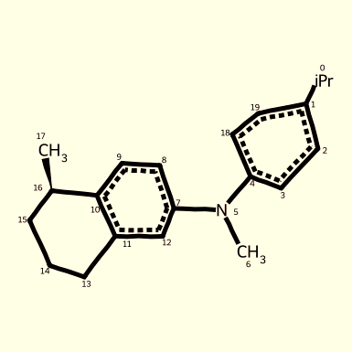 CC(C)c1ccc(N(C)c2ccc3c(c2)CCC[C@H]3C)cc1